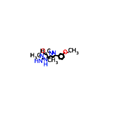 CCOc1cccc(-c2cc([C@]3(C)CC(=O)N(C)C(=N)N3)n(C)n2)c1